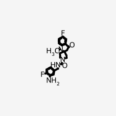 CN1c2ccc(F)cc2C(=O)CC12CCN(C(=O)NCc1ccc(F)c(N)c1)CC2